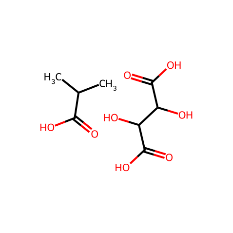 CC(C)C(=O)O.O=C(O)C(O)C(O)C(=O)O